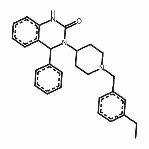 CCc1cccc(CN2CCC(N3C(=O)Nc4ccccc4C3c3ccccc3)CC2)c1